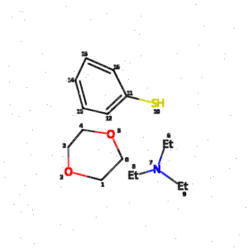 C1COCCO1.CCN(CC)CC.Sc1ccccc1